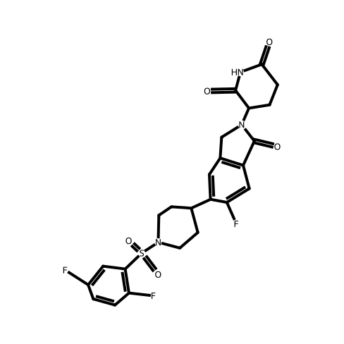 O=C1CCC(N2Cc3cc(C4CCN(S(=O)(=O)c5cc(F)ccc5F)CC4)c(F)cc3C2=O)C(=O)N1